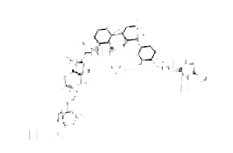 COc1cc(-c2nccc(-c3cccc(NC(=O)c4nc5c(n4C)CCN(CCC46CCC(C(=O)O)(CC4)C6)C5)c3C)c2Cl)ccc1CNC[C@@H]1CCC(=O)N1